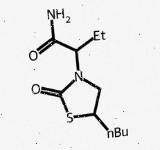 CCCCC1CN(C(CC)C(N)=O)C(=O)S1